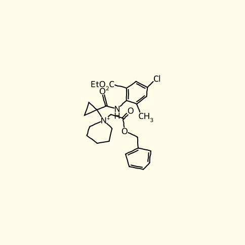 CCOC(=O)c1cc(Cl)cc(C)c1NC(=O)C1([N+]2(CC(=O)OCc3ccccc3)CCCCC2)CC1